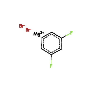 Fc1cccc(F)c1.[Br-].[Br-].[Mg+2]